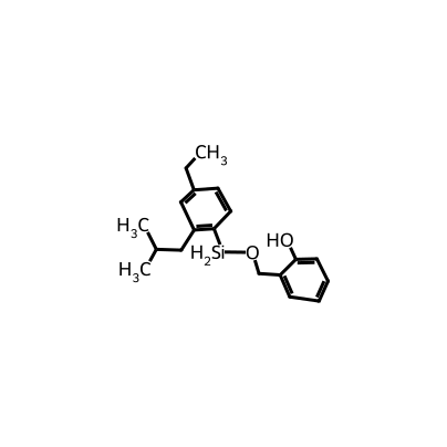 CCc1ccc([SiH2]OCc2ccccc2O)c(CC(C)C)c1